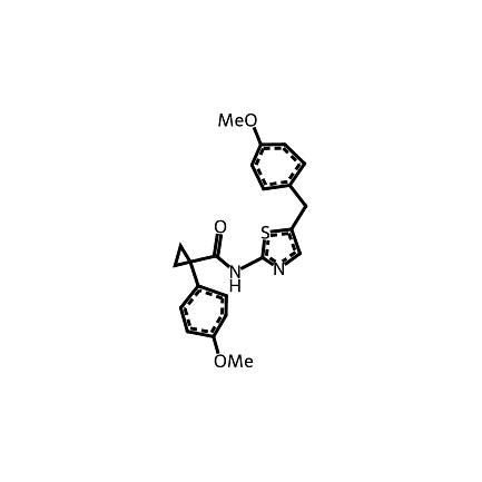 COc1ccc(Cc2cnc(NC(=O)C3(c4ccc(OC)cc4)CC3)s2)cc1